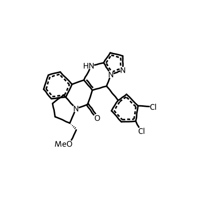 COC[C@@H]1CCCN1C(=O)C1=C(c2ccccc2)Nc2ccnn2C1c1ccc(Cl)c(Cl)c1